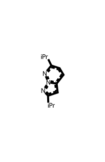 CC(C)c1ccc2cc(C(C)C)nn2n1